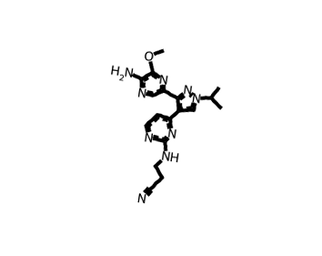 COc1nc(-c2nn(C(C)C)cc2-c2ccnc(NCCC#N)n2)cnc1N